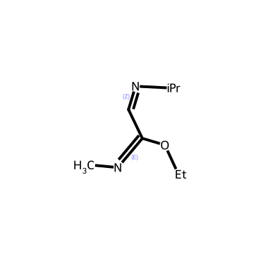 CCOC(/C=N\C(C)C)=N/C